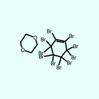 BrC1=C(Br)C(Br)(Br)C(Br)(Br)C(Br)(Br)C1(Br)Br.C1COCCO1